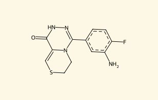 Nc1cc(C2=NNC(=O)C3=CSCCN32)ccc1F